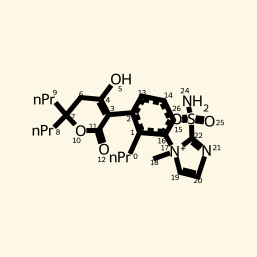 CCCc1c(C2=C(O)CC(CCC)(CCC)OC2=O)cccc1[N+]1(C)C=CN=C1S(N)(=O)=O